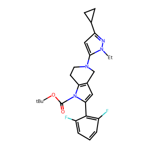 CCn1nc(C2CC2)cc1N1CCc2c(cc(-c3c(F)cccc3F)n2C(=O)OC(C)(C)C)C1